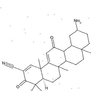 CC12CCC(N)CC1C1C(=O)C=C3C(C)(CC[C@H]4C(C)(C)C(=O)C(C#N)=CC34C)C1CC2